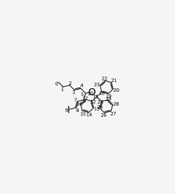 CCCC=CC(CC=CI)OC(c1ccccc1)(c1ccccc1)c1ccccc1